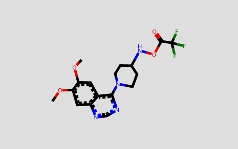 COc1cc2ncnc(N3CCC(NOC(=O)C(F)(F)F)CC3)c2cc1OC